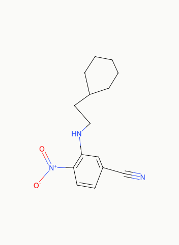 N#Cc1ccc([N+](=O)[O-])c(NCCC2CCCCC2)c1